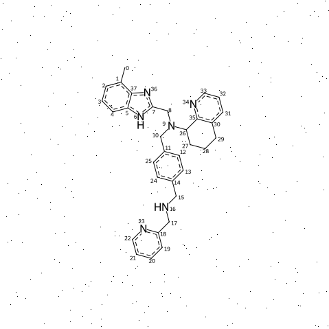 Cc1cccc2[nH]c(CN(Cc3ccc(CNCc4ccccn4)cc3)C3CCCc4cccnc43)nc12